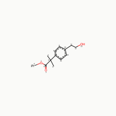 CC(C)OC(=O)C(C)(C)c1ccc(CCO)cc1